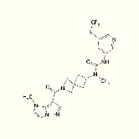 CN(C(=O)Nc1cncc(SC(F)(F)F)c1)C1CC2(C1)CN(C(=O)c1cnn3ccn(C)c13)C2